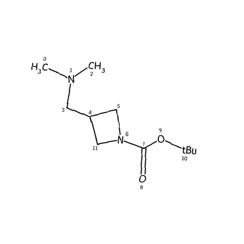 CN(C)CC1CN(C(=O)OC(C)(C)C)C1